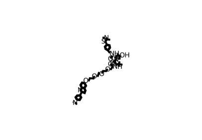 Cc1ncsc1-c1ccc(CNC(=O)[C@@H]2C[C@@H](O)CN2C(=O)[C@@H](NC(=O)COCCOCCOCCCOc2ccc3nc(-c4ccc(N(C)C)cc4)ccc3c2)C(C)(C)C)cc1